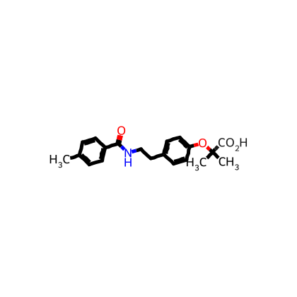 Cc1ccc(C(=O)NCCc2ccc(OC(C)(C)C(=O)O)cc2)cc1